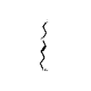 CCCCCCC=COCCO